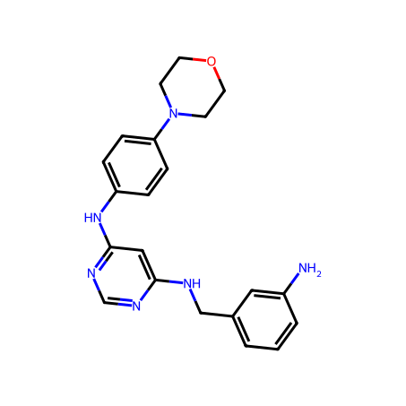 Nc1cccc(CNc2cc(Nc3ccc(N4CCOCC4)cc3)ncn2)c1